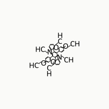 C#CCOc1ccc(-c2c3c4ccccc4n(CC#C)c3c(-c3ccc(OCC#C)cc3OCC#C)c3c4ccccc4n(CC#C)c23)c(OCC#C)c1